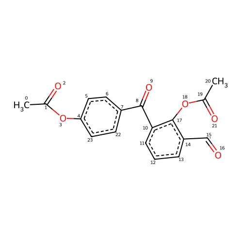 CC(=O)Oc1ccc(C(=O)c2cccc([C]=O)c2OC(C)=O)cc1